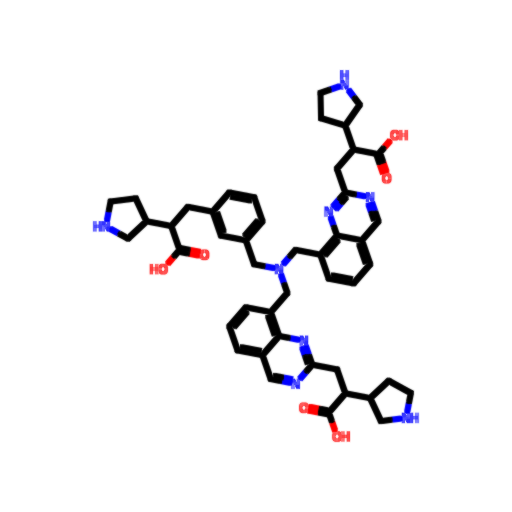 O=C(O)C(Cc1cccc(CN(Cc2cccc3cnc(CC(C(=O)O)C4CCNC4)nc23)Cc2cccc3cnc(CC(C(=O)O)C4CCNC4)nc23)c1)C1CCNC1